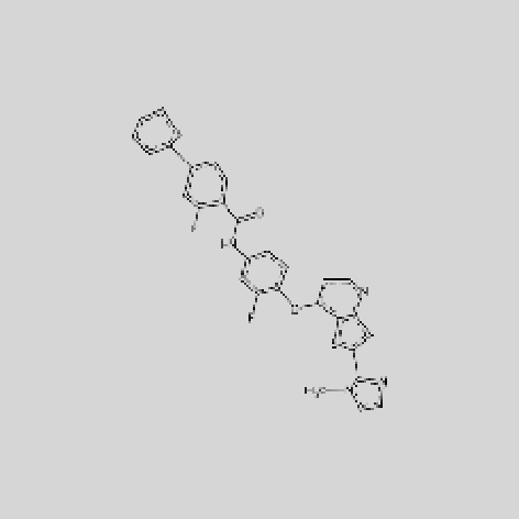 Cn1ccnc1-c1cc2nccc(Oc3ccc(NC(=O)c4ccc(-c5ccccc5)cc4F)cc3F)c2s1